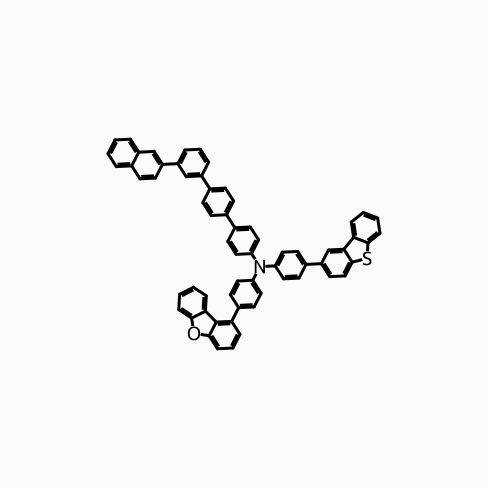 c1cc(-c2ccc(-c3ccc(N(c4ccc(-c5ccc6sc7ccccc7c6c5)cc4)c4ccc(-c5cccc6oc7ccccc7c56)cc4)cc3)cc2)cc(-c2ccc3ccccc3c2)c1